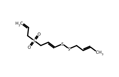 C=CCS(=O)(=O)CC=CSSCC=CC